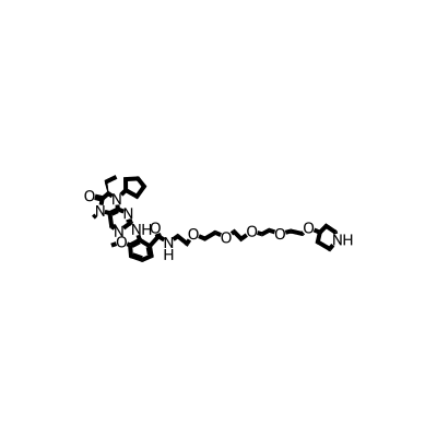 CC[C@@H]1C(=O)N(C)c2cnc(Nc3c(OC)cccc3C(=O)NCCOCCOCCOCCOCCOC3CCNCC3)nc2N1C1CCCC1